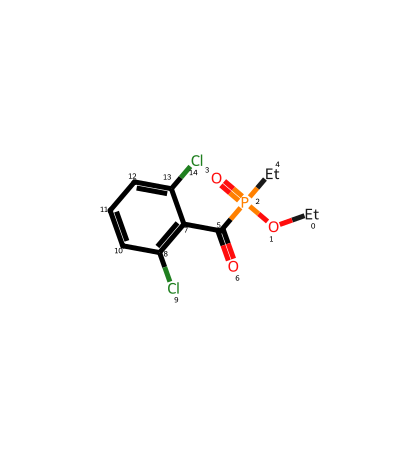 CCOP(=O)(CC)C(=O)c1c(Cl)cccc1Cl